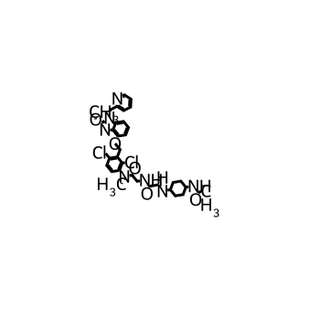 COc1nc2c(OCc3c(Cl)ccc(N(C)C(=O)CNC(=O)CNC4CCC(NC(C)=O)CC4)c3Cl)cccc2n1Cc1ccccn1